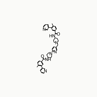 Cc1ccc(C(=O)NC2CCN(Cc3ccc(N4CCC(NC(=O)c5ccc(C)c(-c6cccnc6)c5)CC4)nc3)CC2)cc1-c1cccnc1